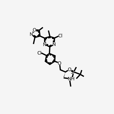 CNC[C@H](COc1ccc(Cl)c(-c2nc(Cl)c(C)c(-c3c(C)noc3C)n2)c1)O[Si](C)(C)C(C)(C)C